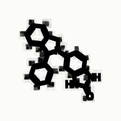 O=c1[nH]c2ccc(N3Cc4ccccc4C3c3ccccc3)cc2[nH]1